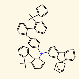 CC1(C)c2ccccc2-c2c(N(c3ccc(-c4ccccc4-c4cccc5c4C(C)(C)c4ccccc4-5)cc3)c3ccc4c(c3)C3(CC5CCC3C5)c3ccccc3-4)cccc21